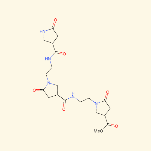 COC(=O)C1CC(=O)N(CCNC(=O)C2CC(=O)N(CCNC(=O)C3CNC(=O)C3)C2)C1